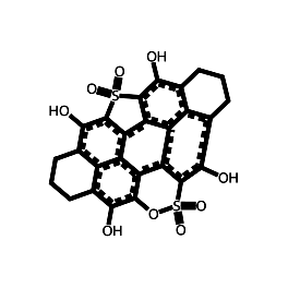 O=S1(=O)Oc2c(O)c3c4c(c(O)c5c6c7c(c(O)c8c9c(c(O)c1c(c2c46)c97)CCC8)S5(=O)=O)CCC3